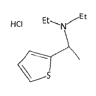 CCN(CC)C(C)c1cccs1.Cl